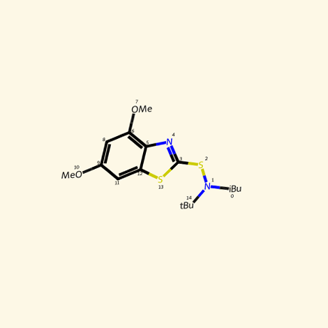 CCC(C)N(Sc1nc2c(OC)cc(OC)cc2s1)C(C)(C)C